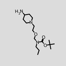 CCCN(COCCN1CCC(N)CC1)C(=O)OC(C)(C)C